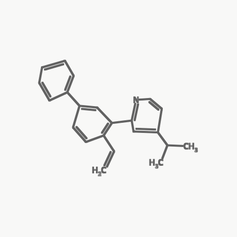 C=Cc1ccc(-c2ccccc2)cc1-c1cc(C(C)C)ccn1